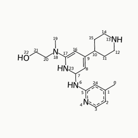 Cc1ccnc(NC2C=C(C3CCNCC3)C=C(N(C)CCO)N2)c1